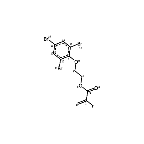 C=C(C)C(=O)OCCOc1c(Br)cc(Br)cc1Br